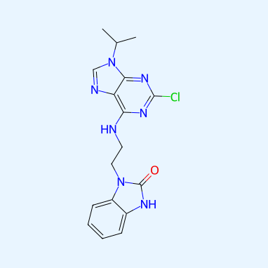 CC(C)n1cnc2c(NCCn3c(=O)[nH]c4ccccc43)nc(Cl)nc21